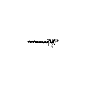 CCCCCCCCCCCCCCCC(=O)NC1C(C)OC(CO)C(OC)C1O